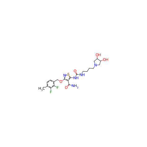 Cc1ccc(COc2nsc(NC(=O)NCCCCN3CC(O)C(O)C3)c2C(N)=O)c(F)c1F